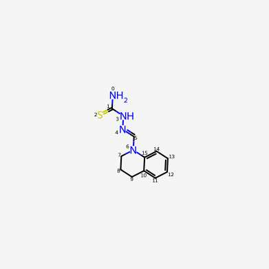 NC(=S)NN=CN1CCCc2ccccc21